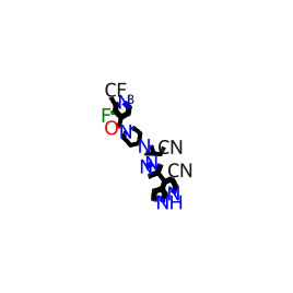 N#CCC1(n2cc(-c3c(C#N)cnc4[nH]ccc34)cn2)CN(C2CCN(C(=O)c3ccnc(CC(F)(F)F)c3F)CC2)C1